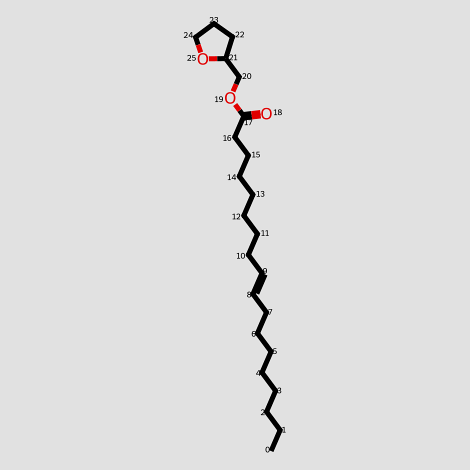 CCCCCCCC/C=C/CCCCCCCC(=O)OCC1CCCO1